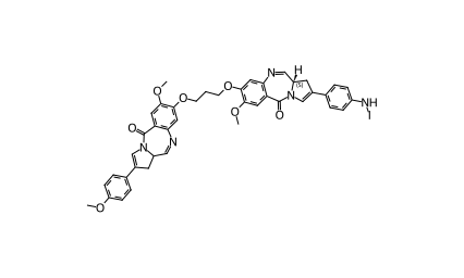 COc1ccc(C2=CN3C(=O)c4cc(OC)c(OCCCOc5cc6c(cc5OC)C(=O)N5C=C(c7ccc(NI)cc7)C[C@H]5C=N6)cc4N=CC3C2)cc1